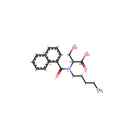 CCCCCN(C(=O)c1cccc2ccccc12)C(CO)C(=O)O